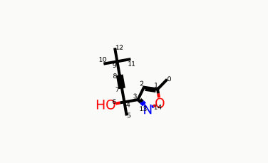 Cc1cc(C(C)(O)C#CC(C)(C)C)no1